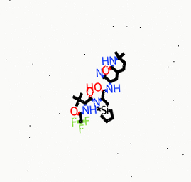 CC1(C)CCC(CC(C#N)NC(O)C2C[Si]3(CCCC3)CN2C(=O)C(NC(=O)C(F)(F)F)C(C)(C)C)C(=O)N1